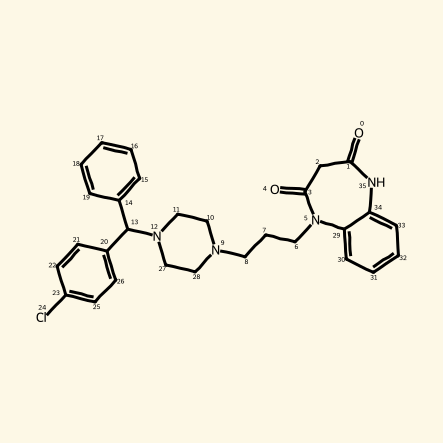 O=C1CC(=O)N(CCCN2CCN(C(c3ccccc3)c3ccc(Cl)cc3)CC2)c2ccccc2N1